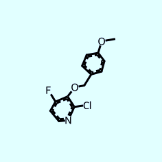 COc1ccc(COc2c(F)ccnc2Cl)cc1